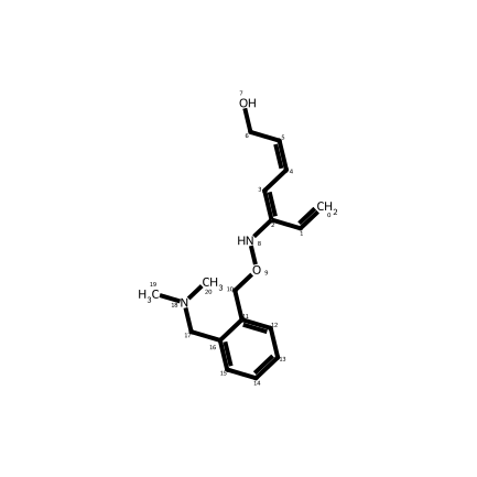 C=C/C(=C\C=C/CO)NOCc1ccccc1CN(C)C